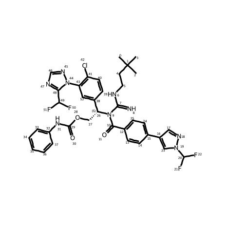 CC(C)(C)CCNC(=N)N(C(=O)c1ccc(-c2cnn(C(F)F)c2)cc1)[C@H](COC(=O)Nc1ccccc1)c1ccc(Cl)c(-n2ncnc2C(F)F)c1